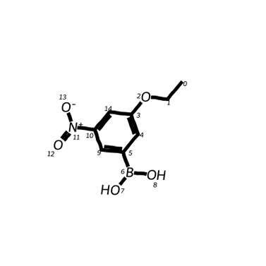 CCOc1cc(B(O)O)cc([N+](=O)[O-])c1